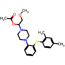 COCC(OC(C)=O)N1CCN(c2ccccc2Sc2ccc(C)cc2C)CC1